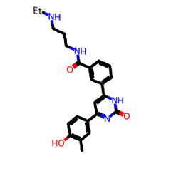 CCNCCCNC(=O)c1cccc(-c2cc(-c3ccc(O)c(C)c3)nc(=O)[nH]2)c1